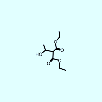 CCOC(=O)C(C(=O)OCC)C(C)O